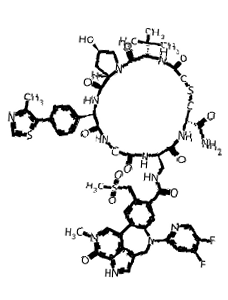 Cc1ncsc1-c1ccc([C@H]2NC(=O)[C@@H]3C[C@@H](O)CN3C(=O)[C@H](C(C)(C)C)NC(=O)CSC[C@H](C(N)=O)NC(=O)[C@@H](CNC(=O)c3cc4c(cc3CS(C)(=O)=O)-c3cn(C)c(=O)c5[nH]cc(c35)CN4c3cc(F)c(F)cn3)NC(=O)CNC2=O)cc1